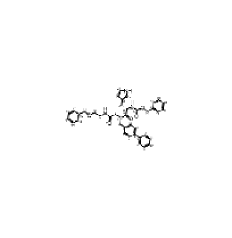 O=C(CN(Cc1ccc(-c2ccccc2)cc1)C(=O)[C@H](Cc1c[nH]cn1)NC(=O)OCc1ccccc1)NCCOCc1ccccc1